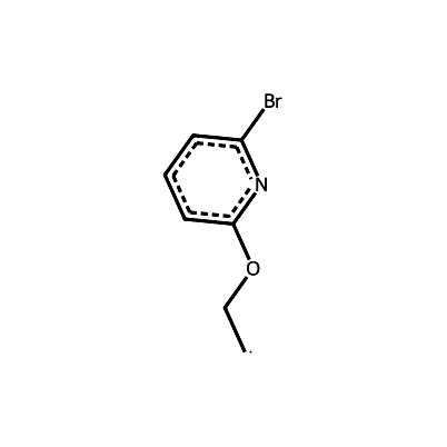 [CH2]COc1cccc(Br)n1